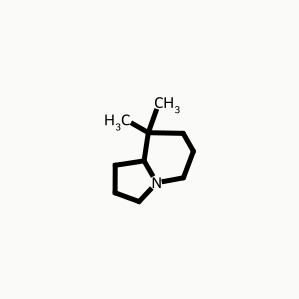 CC1(C)CCCN2CCCC21